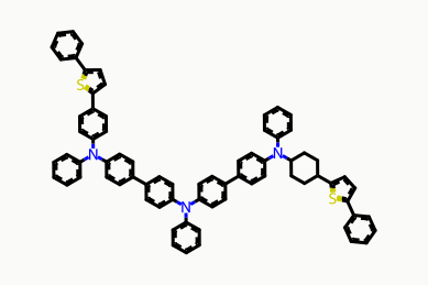 c1ccc(-c2ccc(-c3ccc(N(c4ccccc4)c4ccc(-c5ccc(N(c6ccccc6)c6ccc(-c7ccc(N(c8ccccc8)C8CCC(c9ccc(-c%10ccccc%10)s9)CC8)cc7)cc6)cc5)cc4)cc3)s2)cc1